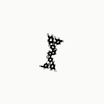 Cc1ccc(N(c2ccc3c(c2)oc2ccc4c(ccc5oc6cc(N(c7ccc(C)cc7C)c7ccc(C)cc7C)ccc6c54)c23)c2ccc(C)cc2C)c(C)c1